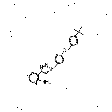 CC(C)(C)c1ccc(COc2ccc(Cn3cc(-c4cccnc4N)nn3)cc2)cc1